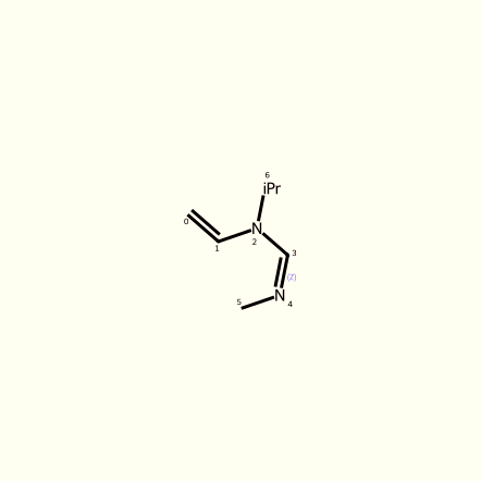 C=CN(/C=N\C)C(C)C